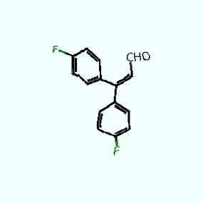 O=CC=C(c1ccc(F)cc1)c1ccc(F)cc1